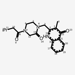 Cc1c(CN2CCN(C(=O)CC(C)C)CC2=O)[nH]c2ccccc2c1=O